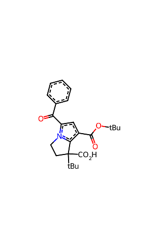 CC(C)(C)OC(=O)c1cc(C(=O)c2ccccc2)n2c1C(C(=O)O)(C(C)(C)C)CC2